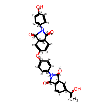 C=C(O)c1ccc2c(c1)C(=O)N(c1ccc(Oc3ccc4c(c3)C(=O)N(c3ccc(O)cc3)C4=O)cc1)C2=O